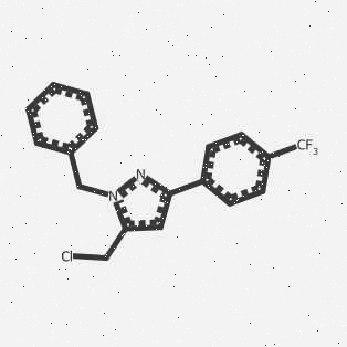 FC(F)(F)c1ccc(-c2cc(CCl)n(Cc3ccccc3)n2)cc1